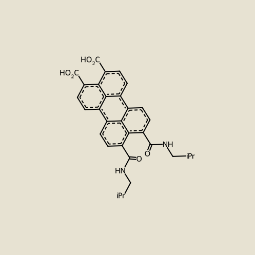 CC(C)CNC(=O)c1ccc2c3ccc(C(=O)O)c4c(C(=O)O)ccc(c5ccc(C(=O)NCC(C)C)c1c25)c43